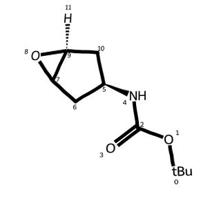 CC(C)(C)OC(=O)N[C@H]1CC2O[C@H]2C1